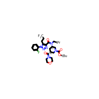 CC(C)CN(C(=O)c1nnn(-c2ccccc2F)c1CCC(F)(F)F)[C@H]1C[C@@H](C(=O)N2CCOCC2)CN(C(=O)OC(C)(C)C)C1